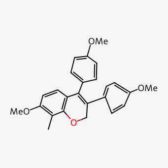 COc1ccc(C2=C(c3ccc(OC)cc3)c3ccc(OC)c(C)c3OC2)cc1